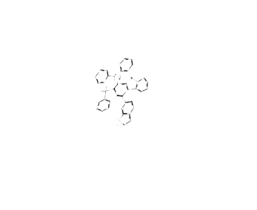 CC1(C)c2ccccc2-c2c(-c3ccc4ccsc4c3)c3c(c(N(c4ccccc4)c4ccccc4)c21)C(C)(C)c1ccccc1-3